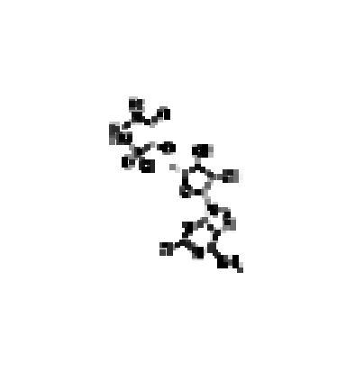 CCN(CC)C(=O)[C@@H](OC[C@H]1O[C@@H](n2cnc3c(N)nc(Cl)nc32)[C@H](O)[C@H]1O)P(=O)(O)O